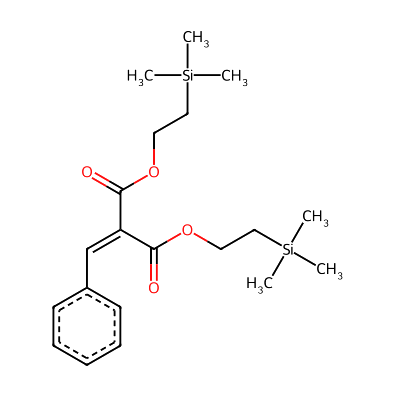 C[Si](C)(C)CCOC(=O)C(=Cc1ccccc1)C(=O)OCC[Si](C)(C)C